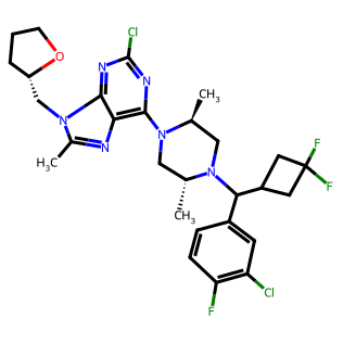 Cc1nc2c(N3C[C@@H](C)N(C(c4ccc(F)c(Cl)c4)C4CC(F)(F)C4)C[C@@H]3C)nc(Cl)nc2n1C[C@@H]1CCCO1